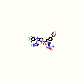 CCC(C)(c1noc(=O)[nH]1)n1c(C(=O)N2CCc3nn(-c4cc(C)c(Cl)c(C)c4)c(-n4cc[nH]c4=O)c3[C@@H]2C)cc2cc(C3CCOCC3)ccc21